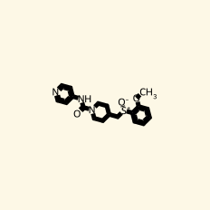 COc1ccccc1[S+]([O-])CC1CCN(C(=O)Nc2ccncc2)CC1